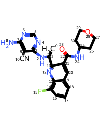 CC(Nc1ncnc(N)c1C#N)c1nc2c(F)cccc2cc1C(=O)NC1CCOCC1